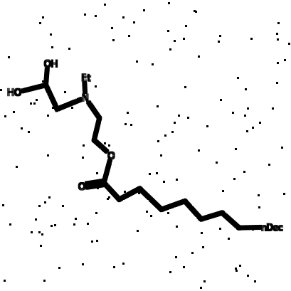 CCCCCCCCCCCCCCCCCC(=O)OCCN(CC)CC(O)O